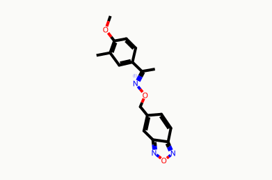 COc1ccc(/C(C)=N/OCc2ccc3nonc3c2)cc1C